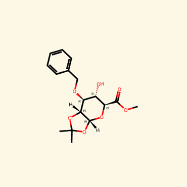 COC(=O)[C@H]1O[C@@H]2OC(C)(C)O[C@@H]2[C@@H](OCc2ccccc2)[C@@H]1O